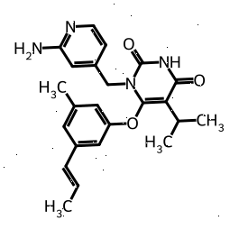 C/C=C/c1cc(C)cc(Oc2c(C(C)C)c(=O)[nH]c(=O)n2Cc2ccnc(N)c2)c1